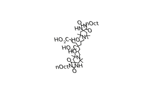 CCCCCCCCN1C(=O)NC2(CC(C)(C)N(CC(O)CC(CCCC(=O)O)(CC(O)CN3C(C)(C)CC4(CC3(C)C)NC(=O)N(CCCCCCCC)C4=O)C(=O)O)C(C)(C)C2)C1=O